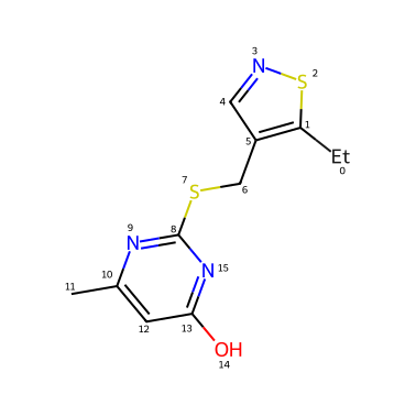 CCc1sncc1CSc1nc(C)cc(O)n1